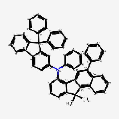 CC1(C)c2cccc(N(c3ccccc3)c3ccc4c(c3)C(c3ccccc3)(c3ccccc3)c3ccccc3-4)c2-c2cc(-c3ccccc3)c3ccccc3c21